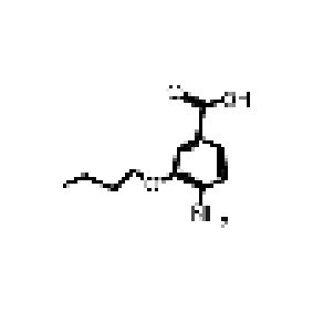 CCCCOc1cc(C(=O)O)ccc1N